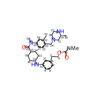 CNC(=O)OCCc1cccc(NC2CCC(C(=O)N(C)c3ccc(CN4CCN[C@@H](C)C4)c(C)c3)CC2)c1